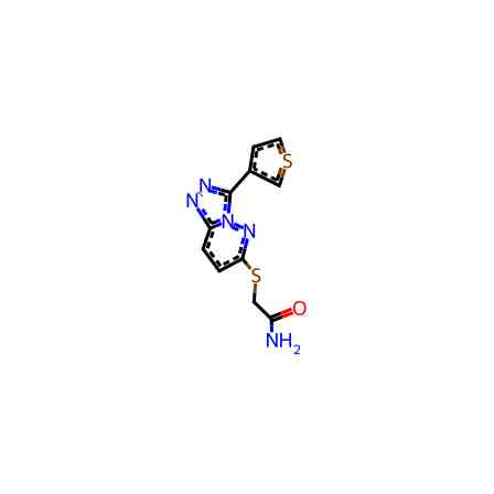 NC(=O)CSc1ccc2nnc(-c3ccsc3)n2n1